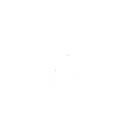 CC(Cl)C(C)Cl.ClCCCCCl